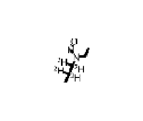 [2H]C([2H])(C)C([2H])([2H])N(CC)N=O